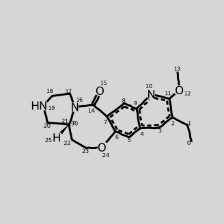 CCc1cc2cc3c(cc2nc1OC)C(=O)N1CCNC[C@H]1CCO3